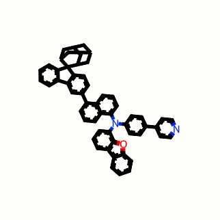 c1ccc2c(c1)-c1cc(-c3cccc4c(N(c5ccc(-c6ccncc6)cc5)c5cccc6c5oc5ccccc56)cccc34)ccc1C21C2CC3CC(C2)CC1C3